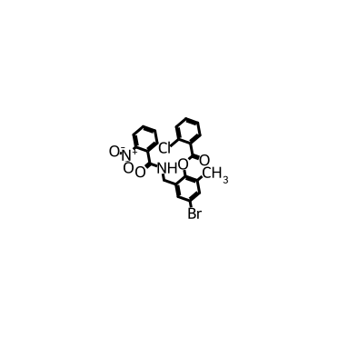 Cc1cc(Br)cc(CNC(=O)c2ccccc2[N+](=O)[O-])c1OC(=O)c1ccccc1Cl